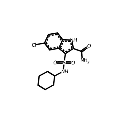 NC(=O)c1[nH]c2ccc(Cl)cc2c1S(=O)(=O)NC1CCCCC1